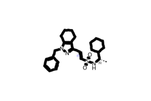 C[C@H](NS(=O)(=O)/C=C/c1nn(Cc2ccccc2)c2c1CCCC2)C1CCCCC1